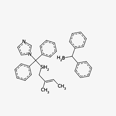 BC(c1ccccc1)c1ccccc1.CC=C(C)C[SiH2]C(c1ccccc1)(c1ccccc1)n1ccnc1